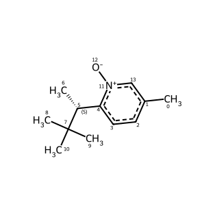 Cc1ccc([C@@H](C)C(C)(C)C)[n+]([O-])c1